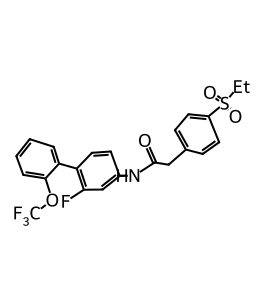 CCS(=O)(=O)c1ccc(CC(=O)Nc2ccc(-c3ccccc3OC(F)(F)F)c(F)c2)cc1